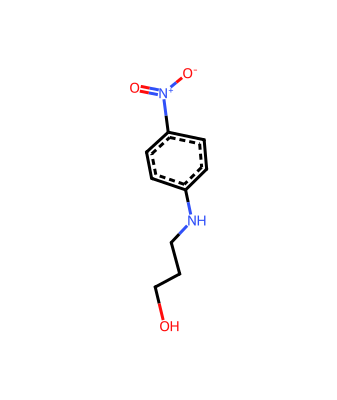 O=[N+]([O-])c1ccc(NCCCO)cc1